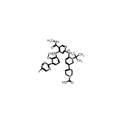 CNC(=O)c1cnc(NC2=CC=C(C3=CCN(C(=O)O)CC3)CN2C(C)(C)C)cc1Nc1cccc(-c2ncc(F)cn2)c1OC